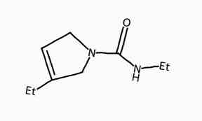 CCNC(=O)N1CC=C(CC)C1